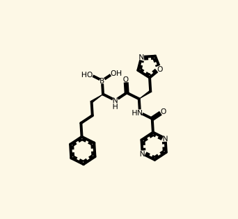 O=C(N[C@H](Cc1cnco1)C(=O)N[C@@H](CCCc1ccccc1)B(O)O)c1cnccn1